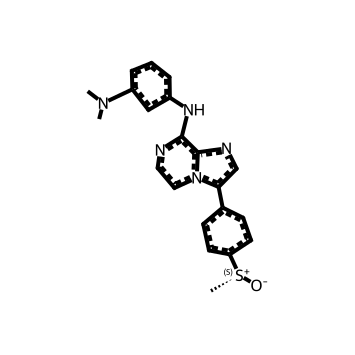 CN(C)c1cccc(Nc2nccn3c(-c4ccc([S@@+](C)[O-])cc4)cnc23)c1